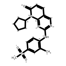 Cc1cc(S(C)(=O)=O)ccc1Nc1ncc2ccc(=O)n(C3CCCC3)c2n1